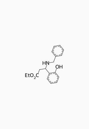 CCOC(=O)CC(NCc1ccccc1)c1ccccc1O